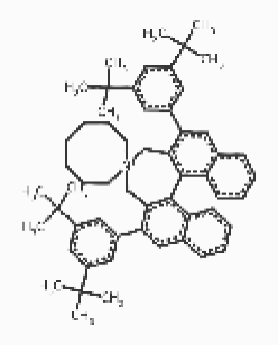 CC(C)(C)c1cc(-c2cc3ccccc3c3c2C[N+]2(CCCCCCC2)Cc2c(-c4cc(C(C)(C)C)cc(C(C)(C)C)c4)cc4ccccc4c2-3)cc(C(C)(C)C)c1